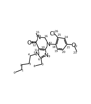 CCCCCn1c(CC)nc2c1C(=O)N(C)CN2c1ccc(OC)cc1Cl